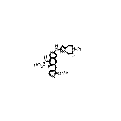 COc1ncccc1Cc1cc2cc(Nc3cc4n(n3)CC(=O)N(C(C)C)CC4)ncc2c(NC(=O)O)c1F